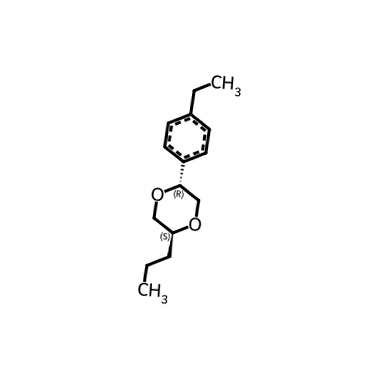 CCC[C@H]1CO[C@H](c2ccc(CC)cc2)CO1